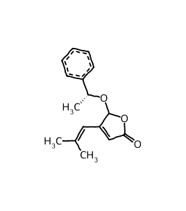 CC(C)=CC1=CC(=O)OC1O[C@H](C)c1ccccc1